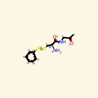 CC(=O)CNC(=O)[C@@H](N)CSSc1ccccc1